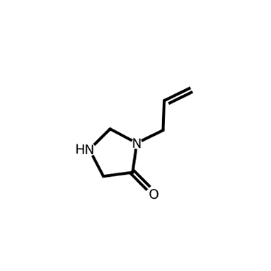 C=CCN1CNCC1=O